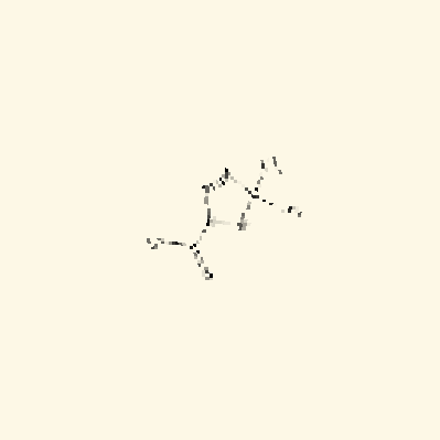 CC1(C)N=NN(C(N)=O)N1